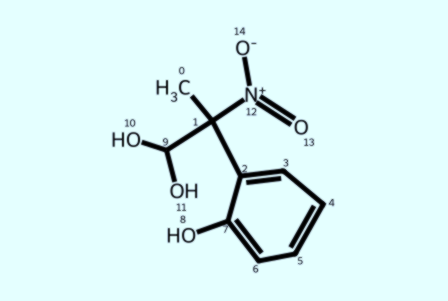 CC(c1ccccc1O)(C(O)O)[N+](=O)[O-]